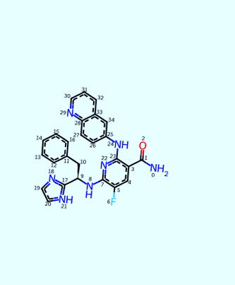 NC(=O)c1cc(F)c(N[C@H](Cc2ccccc2)c2ncc[nH]2)nc1Nc1ccc2ncccc2c1